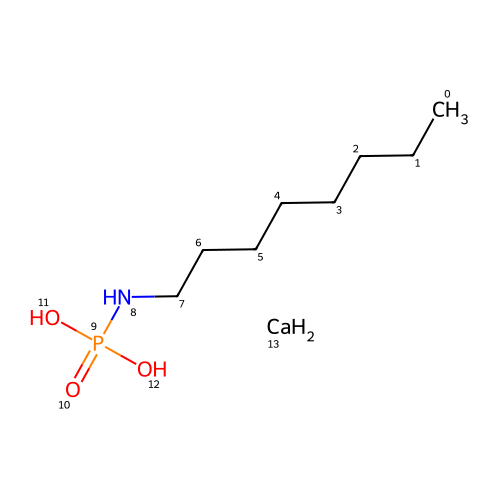 CCCCCCCCNP(=O)(O)O.[CaH2]